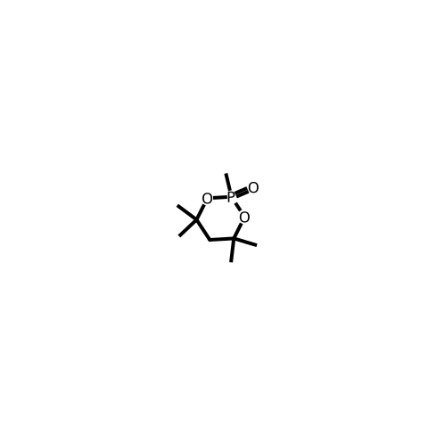 CC1(C)CC(C)(C)OP(C)(=O)O1